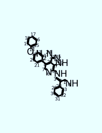 N=C/C(=C\Nc1ncc(-c2ccc(Oc3ccccc3)cc2)c2c(N)n[nH]c12)c1ccccc1